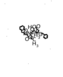 CCOC(=O)C(CC1Cc2ccccc2O1)N[C@@H](C)C(=O)N1C[C@H](OCc2ccccc2)CC1C(=O)O